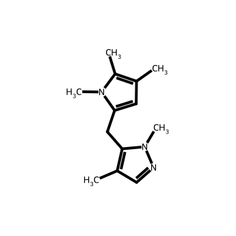 Cc1cnn(C)c1Cc1cc(C)c(C)n1C